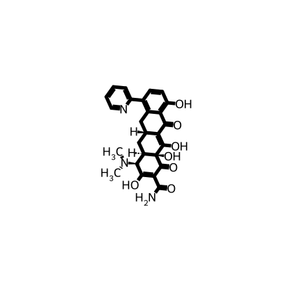 CN(C)[C@@H]1C(O)=C(C(N)=O)C(=O)[C@@]2(O)C(O)=C3C(=O)c4c(O)ccc(-c5ccccn5)c4C[C@H]3C[C@H]12